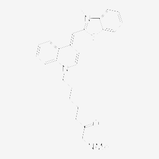 CNCC(=O)CCCCCN1C=CC(=Cc2sc3ccccc3[n+]2C)c2ccccc21